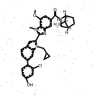 COc1cc(C(=O)N2C[C@H]3CC[C@@H]2[C@@H]3N)cc2nc(-c3cc4ccc(-c5ccc(O)cc5Cl)cc4n3CC3CC3)n(C)c12